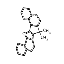 CC1(C)c2ccc3ccccc3c2-c2oc3c(ccc4ccccc43)c21